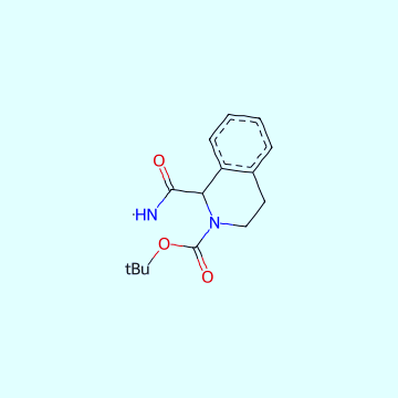 CC(C)(C)OC(=O)N1CCc2ccccc2C1C([NH])=O